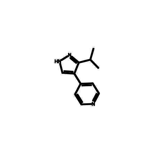 CC(C)c1n[nH]cc1-c1ccncc1